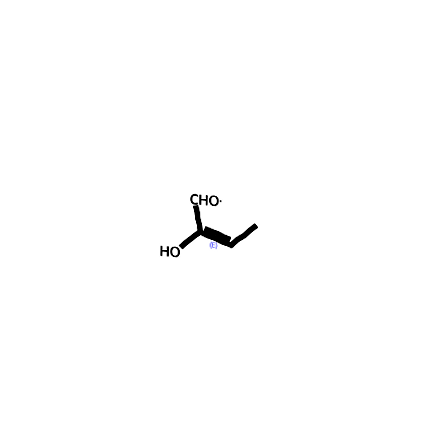 C/C=C(/O)[C]=O